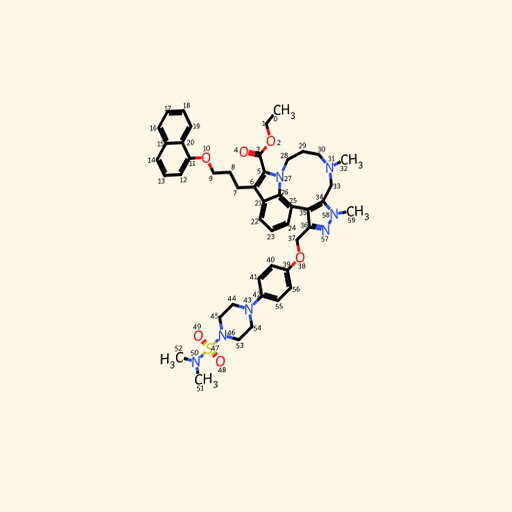 CCOC(=O)c1c(CCCOc2cccc3ccccc23)c2cccc3c2n1CCCN(C)Cc1c-3c(COc2ccc(N3CCN(S(=O)(=O)N(C)C)CC3)cc2)nn1C